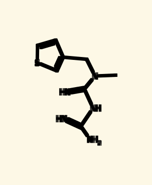 CN(Cc1ccsc1)C(=N)NC(=N)N